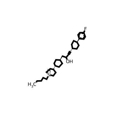 CCCCC[SiH]1CCC([C@H]2CC[C@H](CC(O)C#C[C@H]3CC[C@H](c4ccc(F)cc4)CC3)CC2)CC1